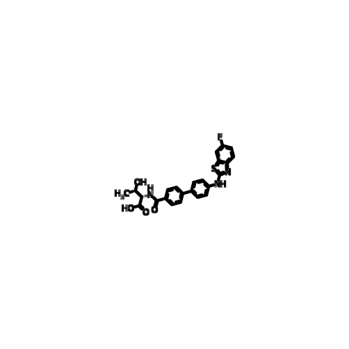 C[C@@H](O)[C@H](NC(=O)c1ccc(-c2ccc(Nc3nc4ccc(F)cc4s3)cc2)cc1)C(=O)O